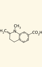 C=C1CCc2ccc(C(=O)O)cc2N1C